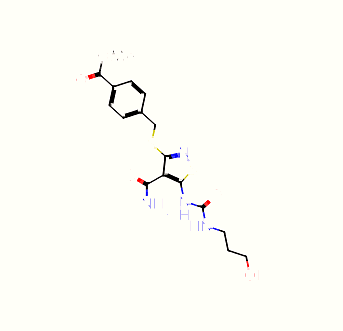 COC(=O)c1ccc(CSc2nsc(NC(=O)NCCCO)c2C(N)=O)cc1